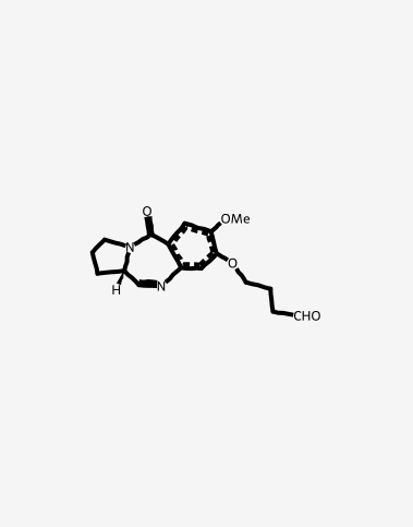 COc1cc2c(cc1OCCCC=O)N=C[C@@H]1CCCN1C2=O